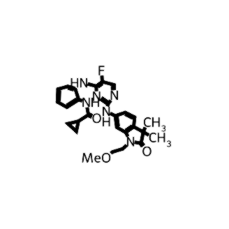 COCCN1C(=O)C(C)(C)c2ccc(Nc3ncc(F)c(Nc4ccccc4NC(=O)C4CC4)n3)cc21